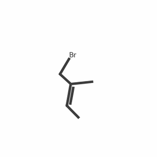 C/C=C(\C)CBr